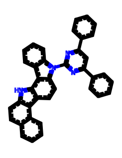 c1ccc(-c2cc(-c3ccccc3)nc(-n3c4ccccc4c4c5[nH]c6ccc7ccccc7c6c5ccc43)n2)cc1